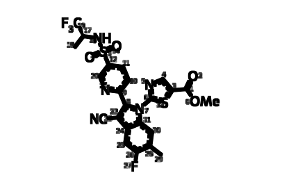 COC(=O)c1cnc(-n2c(-c3ccc(S(=O)(=O)N[C@@H](C)C(F)(F)F)cn3)c(C#N)c3cc(F)c(C)cc32)s1